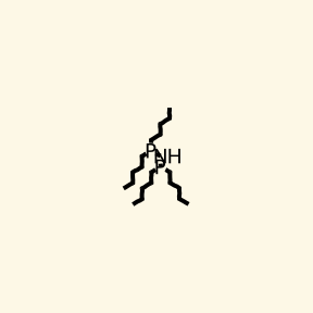 CCCCCP(CCCCC)NP(CCCCC)CCCCC